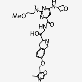 COCCN(C)c1nc(NC2COC2)cc(C(=O)NC[C@@H](O)C2Cc3ccc(OCc4ocnc4C)cc3C=N2)n1